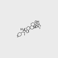 CC1(C)[C@@H]2CCC3=C(CC[C@@]4(C)C3=CC[C@]4(I)[C@H](I)CC3CCSCC3)C2CC[C@@H]1O